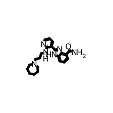 NC(=O)c1cccc2[nH]c(-c3cccnc3NCCCN3CCCCCC3)nc12